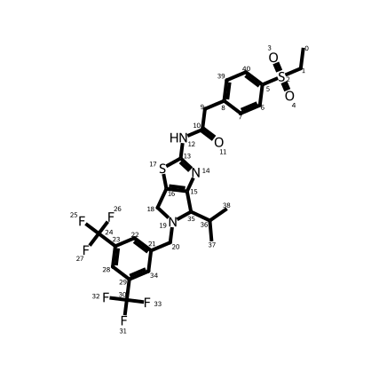 CCS(=O)(=O)c1ccc(CC(=O)Nc2nc3c(s2)CN(Cc2cc(C(F)(F)F)cc(C(F)(F)F)c2)C3C(C)C)cc1